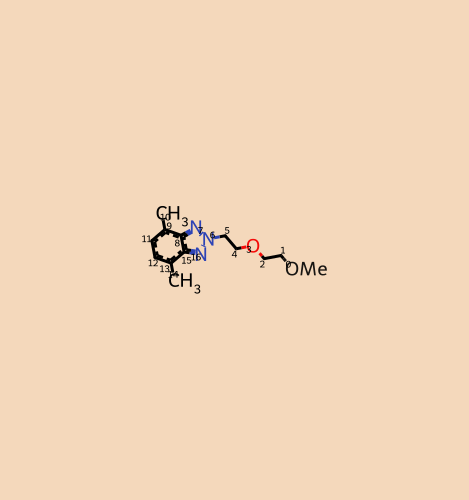 COCCOCCn1nc2c(C)ccc(C)c2n1